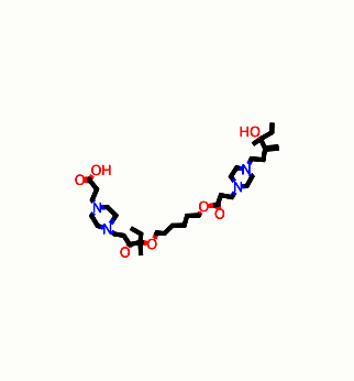 C=C(CCN1CCN(CCC(=O)OCCCCCCOC(C)(CC)C(=O)CCN2CCN(CCC(=O)O)CC2)CC1)C(C)(O)CC